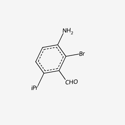 CC(C)c1ccc(N)c(Br)c1C=O